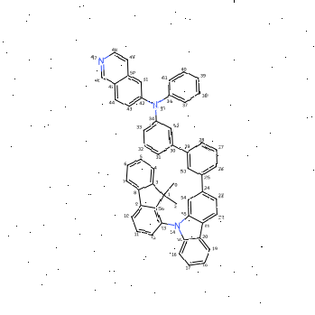 CC1(C)c2ccccc2-c2cccc(-n3c4ccccc4c4ccc(-c5cccc(-c6cccc(N(c7ccccc7)c7ccc8cnccc8c7)c6)c5)cc43)c21